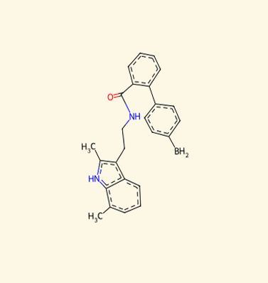 Bc1ccc(-c2ccccc2C(=O)NCCc2c(C)[nH]c3c(C)cccc23)cc1